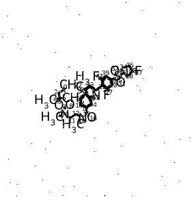 CCCC(C)(C)OC(=O)N(C)CCN(C)C(=O)c1ccc2c(C)cc(-c3c(F)cc(S(=O)(=O)N4CC[C@H](F)C4)cc3F)nc2c1